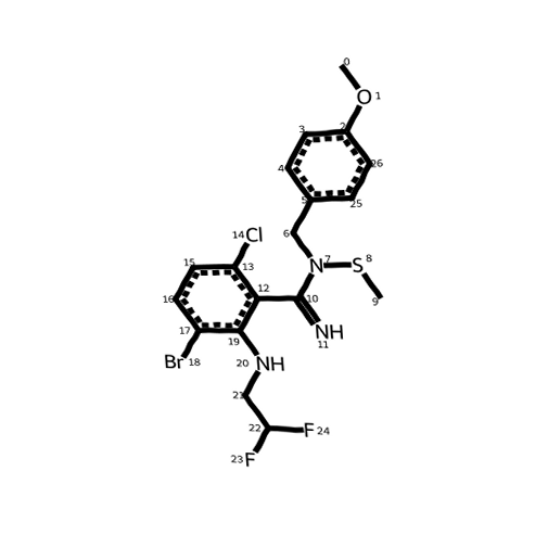 COc1ccc(CN(SC)C(=N)c2c(Cl)ccc(Br)c2NCC(F)F)cc1